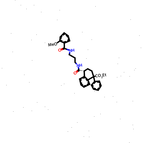 CCOC(=O)C1(c2ccccc2)CC[C@@H](C(=O)NCCCNC(=O)c2ccccc2OC)c2ccccc21